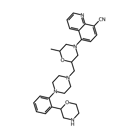 CC1CN(c2ccc(C#N)c3ncccc23)CC(CN2CCN(c3ccccc3C3CNCCO3)CC2)O1